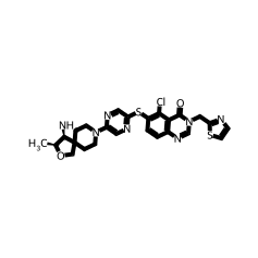 C[C@@H]1OCC2(CCN(c3cnc(Sc4ccc5ncn(Cc6nccs6)c(=O)c5c4Cl)cn3)CC2)[C@@H]1N